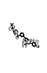 COc1ccc(C2CC(C(F)(F)F)n3nc(-c4cccc(C(=O)N5CCN(C(=O)OC(C)(C)C)CC5)c4)cc3N2)cc1OC